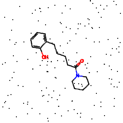 O=C(CCCCc1ccccc1O)N1CCCCC1